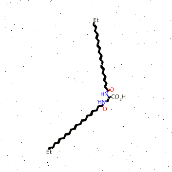 CCC=CCC=CCC=CCC=CCC=CCC=CCCC(=O)NCC(NC(=O)CCC=CCC=CCC=CCC=CCC=CCC=CCC)C(=O)O